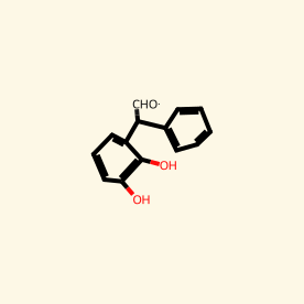 O=[C]C(c1ccccc1)c1cccc(O)c1O